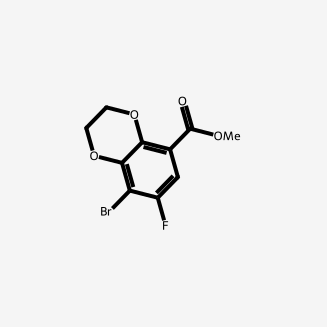 COC(=O)c1cc(F)c(Br)c2c1OCCO2